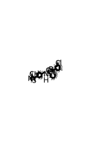 Cc1ncsc1-c1ccc(CNC(=O)C2CCCCN2C(=O)c2cccc(Cl)c2)cc1